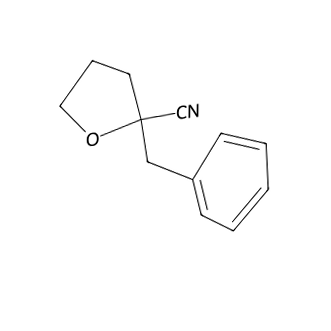 N#CC1(Cc2ccccc2)CCCO1